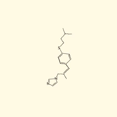 CC(=Cc1ccc(SCCC(C)C)cc1)Cn1ccnc1